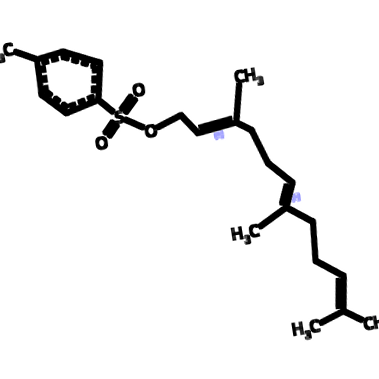 CC(C)=CCC/C(C)=C/CC/C(C)=C/COS(=O)(=O)c1ccc(C)cc1